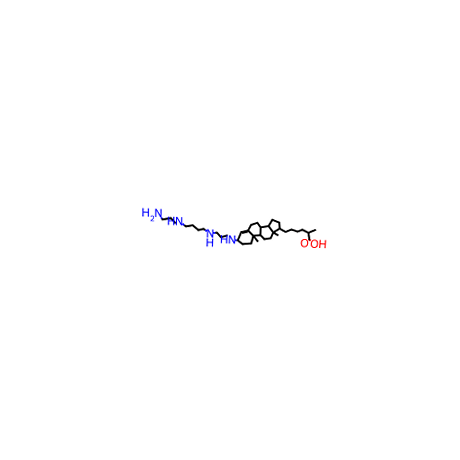 CC(CCCCC1CCC2C3CCC4=CC(NCCCNCCCCNCCCN)CCC4(C)C3CCC12C)C(=O)O